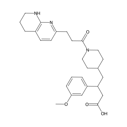 COc1cccc(C(CC(=O)O)CC2CCN(C(=O)CCc3ccc4c(n3)NCCC4)CC2)c1